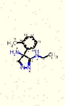 CCNC1=NN=CC1(N)c1ccccc1C